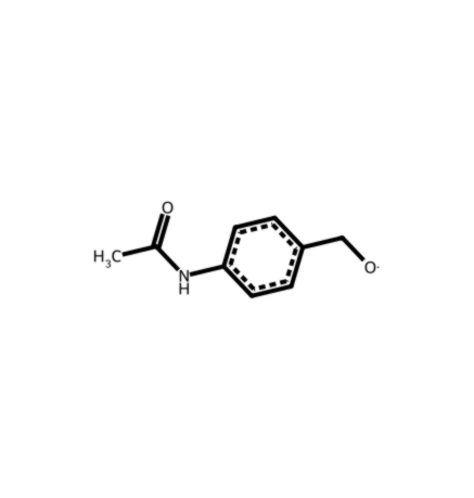 CC(=O)Nc1ccc(C[O])cc1